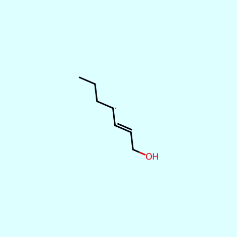 CCC[CH]C=CCO